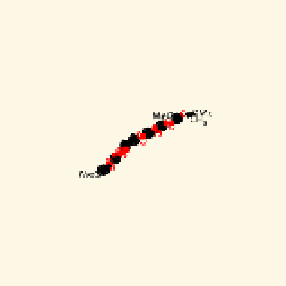 COc1ccc(C(=O)Oc2ccc(C(=O)Oc3ccc(-c4ccc(OC(=O)c5ccc(OC(=O)c6ccc(OC(=O)c7ccc(OCCC(C)OC)cc7OC)cc6)cc5)cc4)cc3)cc2)cc1